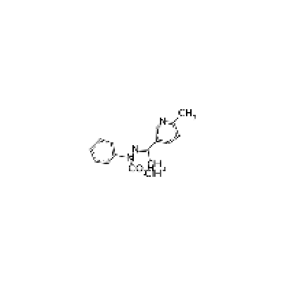 C/C(=N\N(C(=O)O)c1ccccc1)c1ccc(C)nc1.Cl